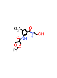 CC(C)C1OCC(C(=O)Nc2cc(C(=O)NCCO)cc([N+](=O)[O-])c2)CO1